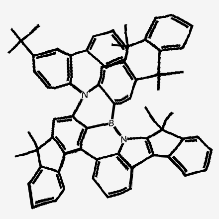 CC(C)(C)c1ccc(N2c3cc4c(cc3B3c5c2cc2c(c5-c5cccc6c7c(n3c56)C(C)(C)c3ccccc3-7)-c3ccccc3C2(C)C)C(C)(C)c2ccccc2C4(C)C)c(-c2ccccc2)c1